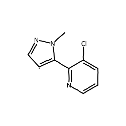 Cn1nc[c]c1-c1ncccc1Cl